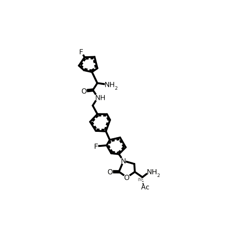 CC(=O)[C@@H](N)C1CN(c2ccc(-c3ccc(CNC(=O)C(N)c4ccc(F)cc4)cc3)c(F)c2)C(=O)O1